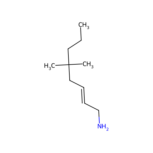 CCCC(C)(C)C/C=C/CN